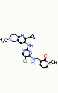 CN1CCc2nc(C3CC3)c(Nc3ncc(Cl)c(NCc4cccn(C)c4=O)n3)cc2C1